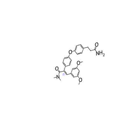 COc1cc(/C=C(/C(=O)N(C)C)c2ccc(Oc3ccc(CCC(N)=O)cc3)cc2)cc(OC)c1